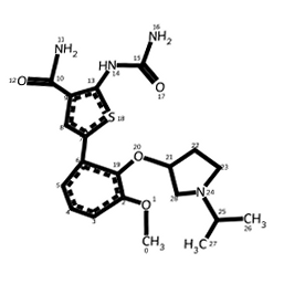 COc1cccc(-c2cc(C(N)=O)c(NC(N)=O)s2)c1OC1CCN(C(C)C)C1